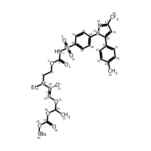 CCN(CCOC(=O)NS(=O)(=O)c1ccc(-n2nc(C(F)(F)F)cc2-c2ccc(C)cc2)cc1)/[N+]([O-])=N/OC(C)OC(=O)OC(C)(C)C